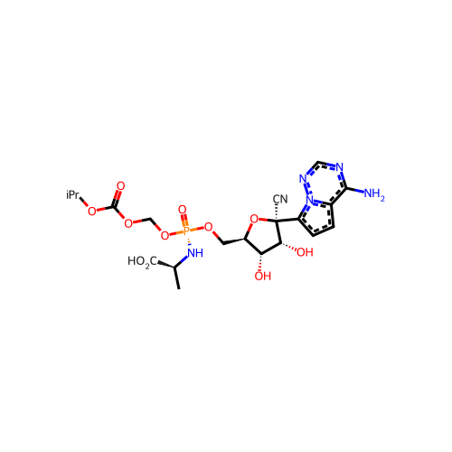 CC(C)OC(=O)OCO[P@](=O)(N[C@@H](C)C(=O)O)OC[C@H]1O[C@@](C#N)(c2ccc3c(N)ncnn23)[C@H](O)[C@@H]1O